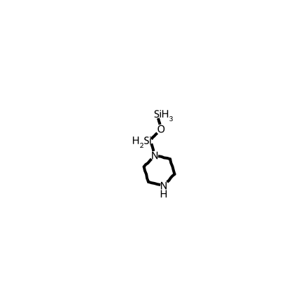 [SiH3]O[SiH2]N1CCNCC1